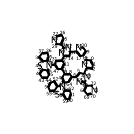 c1ccc(-c2cc(-c3cc(-c4cc(-c5cc(-c6ccccn6)nc(-c6cccnc6)n5)cc(N5c6ccccc6Sc6ccccc65)c4)cc(N4c5ccccc5Sc5ccccc54)c3)nc(-c3cccnc3)n2)nc1